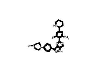 CCN1CCN(c2ccc(-c3n[nH]c4cnc(-c5c(C)cc(C6CCCCN6)cc5F)nc34)cc2)CC1